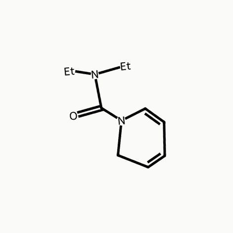 CCN(CC)C(=O)N1C=CC=CC1